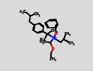 CCOC(C)[N+](CC(C)C)(Oc1ccccc1)C(C)(C)c1ccc(CC(C)C)cc1